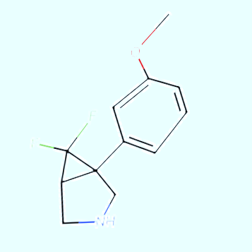 COc1cccc(C23CNCC2C3(F)F)c1